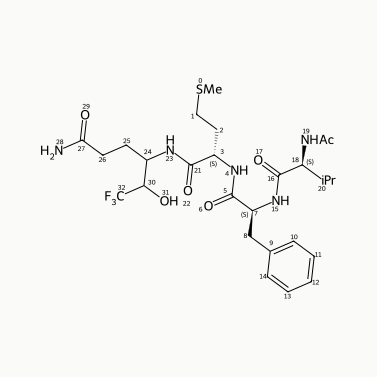 CSCC[C@H](NC(=O)[C@H](Cc1ccccc1)NC(=O)[C@@H](NC(C)=O)C(C)C)C(=O)NC(CCC(N)=O)C(O)C(F)(F)F